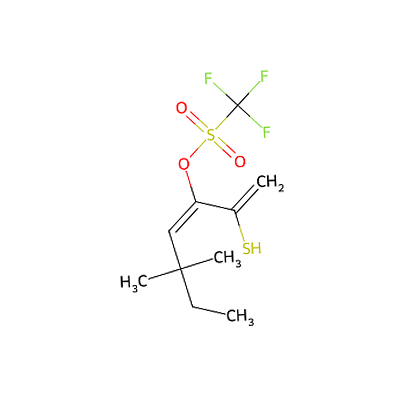 C=C(S)/C(=C\C(C)(C)CC)OS(=O)(=O)C(F)(F)F